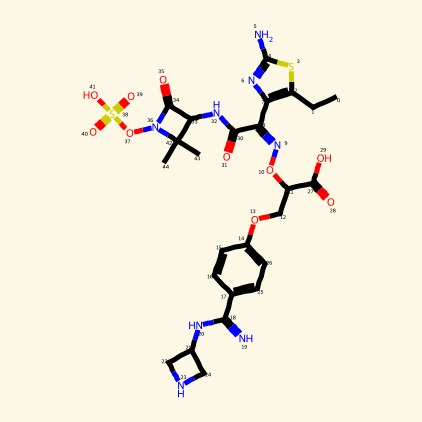 CCc1sc(N)nc1C(=NOC(COc1ccc(C(=N)NC2CNC2)cc1)C(=O)O)C(=O)NC1C(=O)N(OS(=O)(=O)O)C1(C)C